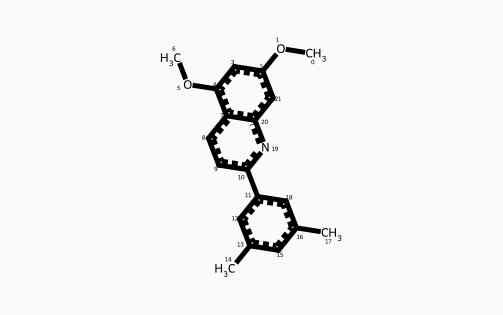 COc1cc(OC)c2ccc(-c3cc(C)cc(C)c3)nc2c1